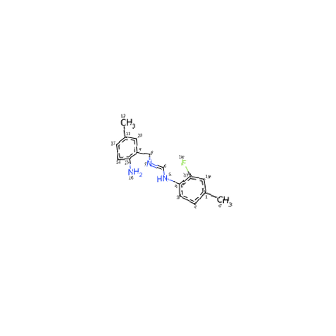 Cc1ccc(N/C=N/Cc2cc(C)ccc2N)c(F)c1